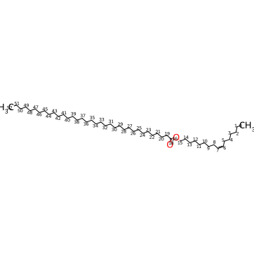 CCCCCC/C=C\CCCCCCCCOC(=O)CCCCCCCCCCCCCCCCCCCCCCCCCCCCCCCCCC